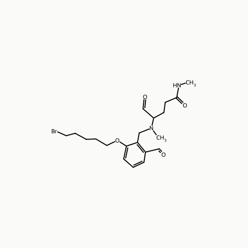 CNC(=O)CCC(C=O)N(C)Cc1c(C=O)cccc1OCCCCCBr